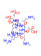 NCCCC[C@H](NC(=O)[C@H](CCCCN)NC(=O)[C@H](CCC(=O)O)NC(=O)[C@H](CCCCN)NC(=O)[C@@H](N)CCCCN)C(=O)N[C@@H](CCC(=O)O)C(=O)O